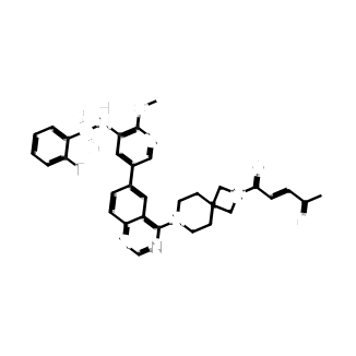 COc1ncc(-c2ccc3ncnc(N4CCC5(CC4)CN(C(=O)/C=C/C(C)=O)C5)c3c2)cc1NS(=O)(=O)c1ccccc1F